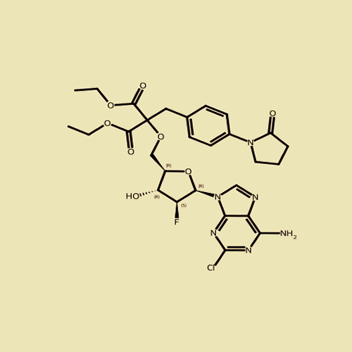 CCOC(=O)C(Cc1ccc(N2CCCC2=O)cc1)(OC[C@H]1O[C@@H](n2cnc3c(N)nc(Cl)nc32)[C@@H](F)[C@@H]1O)C(=O)OCC